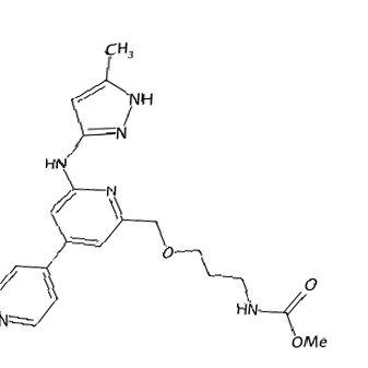 COC(=O)NCCCOCc1cc(-c2ccncc2)cc(Nc2cc(C)[nH]n2)n1